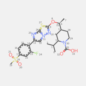 CC(C)C1CC([C@H](C)Oc2nn3cc(-c4ccc(S(C)(=O)=O)cc4F)nc3s2)CCN1C(=O)O